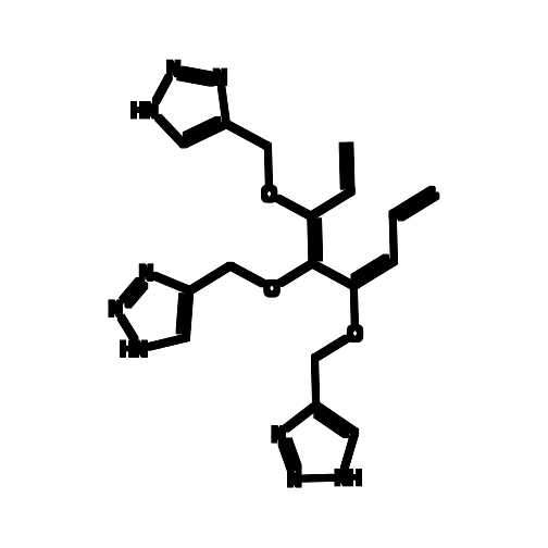 C=C/C=C(OCc1c[nH]nn1)\C(OCc1c[nH]nn1)=C(/C=C)OCc1c[nH]nn1